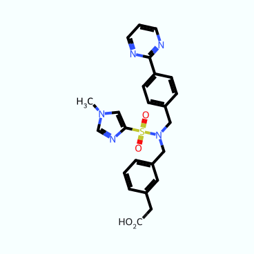 Cn1cnc(S(=O)(=O)N(Cc2ccc(-c3ncccn3)cc2)Cc2cccc(CC(=O)O)c2)c1